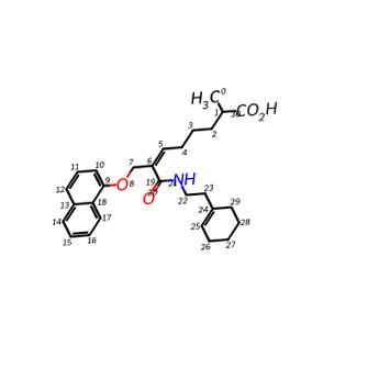 CC(CCCC=C(COc1cccc2ccccc12)C(=O)NCCC1=CCCCC1)C(=O)O